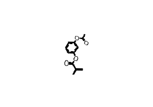 C=C(C)C(=O)Oc1cccc(OC(C)=O)c1